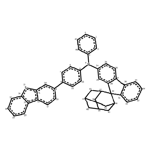 c1ccc(N(c2ccc(-c3ccc4c(c3)sc3ccccc34)cc2)c2ccc3c(c2)C2(c4ccccc4-3)C3CC4CC(C3)CC2C4)cc1